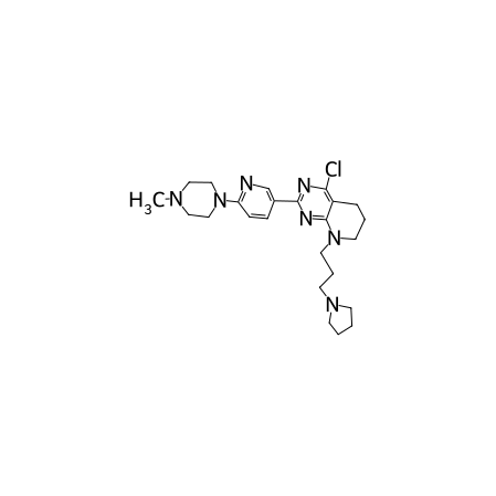 CN1CCN(c2ccc(-c3nc(Cl)c4c(n3)N(CCCN3CCCC3)CCC4)cn2)CC1